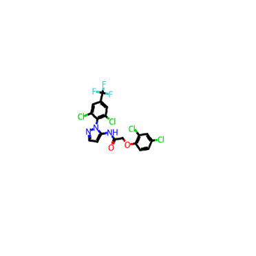 O=C(COc1ccc(Cl)cc1Cl)Nc1ccnn1-c1c(Cl)cc(C(F)(F)F)cc1Cl